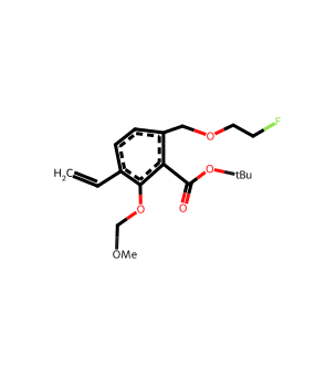 C=Cc1ccc(COCCF)c(C(=O)OC(C)(C)C)c1OCOC